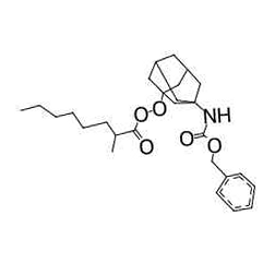 CCCCCCC(C)C(=O)OOC12CC3CC(CC(NC(=O)OCc4ccccc4)(C3)C1)C2